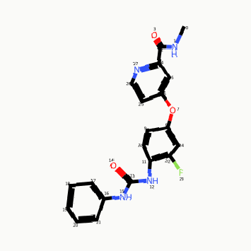 CNC(=O)c1cc(Oc2ccc(NC(=O)Nc3ccccc3)c(F)c2)ccn1